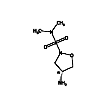 CN(C)S(=O)(=O)N1C[C@@H](N)CO1